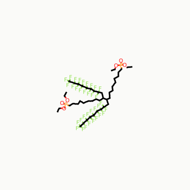 CCOP(=O)(CCCCCCCCCC(CC(F)(F)C(F)(F)C(F)(F)C(F)(F)C(F)(F)C(F)(F)C(F)(F)C(F)(F)F)C(CCCCCCCCCP(=O)(OCC)OCC)CC(F)(F)C(F)(F)C(F)(F)C(F)(F)C(F)(F)C(F)(F)C(F)(F)C(F)(F)F)OCC